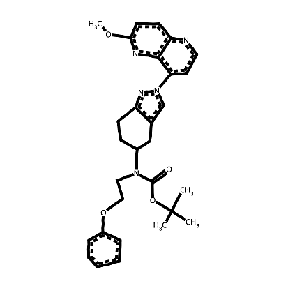 COc1ccc2nccc(-n3cc4c(n3)CCC(N(CCOc3ccccc3)C(=O)OC(C)(C)C)C4)c2n1